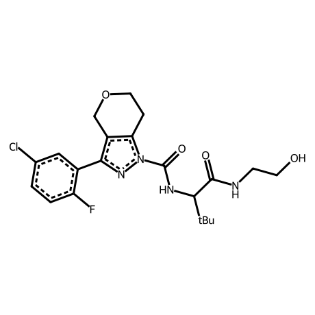 CC(C)(C)C(NC(=O)n1nc(-c2cc(Cl)ccc2F)c2c1CCOC2)C(=O)NCCO